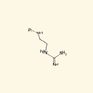 CC(C)NCCNC(=N)N